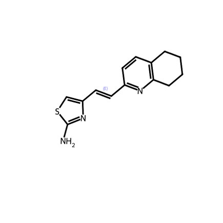 Nc1nc(/C=C/c2ccc3c(n2)CCCC3)cs1